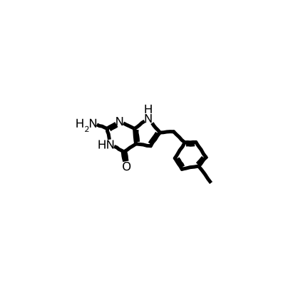 Cc1ccc(Cc2cc3c(=O)[nH]c(N)nc3[nH]2)cc1